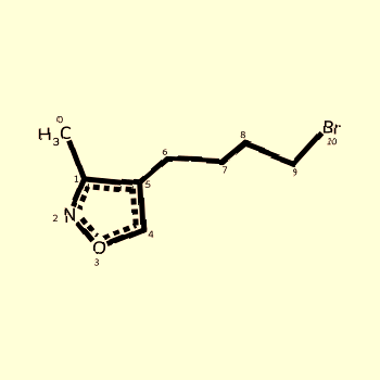 Cc1nocc1CCCCBr